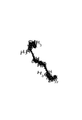 Cc1cc2c(cc1NCCCCCCNC(=O)c1ccc(-c3ccc(C(=O)NCCCCCCNc4cc5sc6c/c(=[N+](/C)c7ccccc7)c(C)cc-6nc5cc4C)cc3)cc1)Sc1cc(=CN(C)c3ccccc3)c(C)cc1=N2